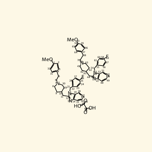 COc1ccc(CCN2CCC(Cc3nc4ccncc4n3Cc3ccc(F)cc3)CC2)cc1.COc1ccc(CCN2CCC(Cc3nc4ccncc4n3Cc3ccc(F)cc3)CC2)cc1.O=C(O)C(=O)O